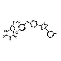 COCCC1(Oc2ccc(Oc3ccc(-c4noc(-c5cccc(F)c5)n4)cc3)cc2)C(=O)NC(=O)NC1=O